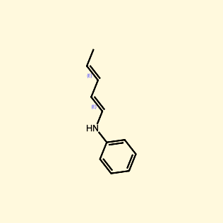 C/C=C/C=C/Nc1ccccc1